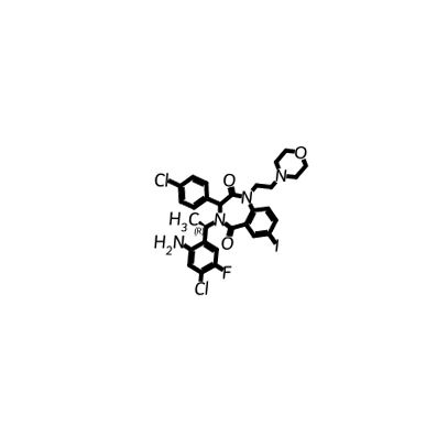 C[C@H](c1cc(F)c(Cl)cc1N)N1C(=O)c2cc(I)ccc2N(CCN2CCOCC2)C(=O)C1c1ccc(Cl)cc1